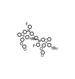 CC(C)(C)c1ccc(C2(c3ccc(Oc4ccc5c(c4)CC5)cc3)c3ccccc3-c3ccc(N(c4ccc(-c5ccc(N(c6cccc(F)c6)c6ccc7c(c6)C(c6ccc(Oc8ccc9c(c8)CC9)cc6)(c6ccc(C(C)(C)C)cc6)c6ccccc6-7)cc5)cc4)c4cccc(F)c4)cc32)cc1